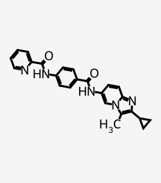 Cc1c(C2CC2)nc2ccc(NC(=O)c3ccc(NC(=O)c4ccccn4)cc3)cn12